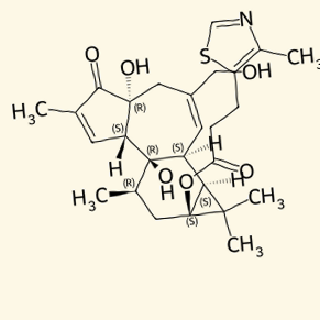 CC1=C[C@H]2[C@@]3(O)[C@H](C)C[C@]4(OC(=O)CCc5scnc5C)[C@@H]([C@@H]3C=C(CO)C[C@]2(O)C1=O)C4(C)C